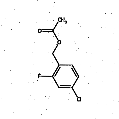 CC(=O)OCc1ccc(Cl)cc1F